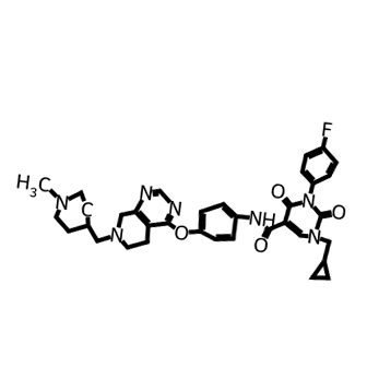 CN1CCC(CN2CCc3c(ncnc3Oc3ccc(NC(=O)c4cn(CC5CC5)c(=O)n(-c5ccc(F)cc5)c4=O)cc3)C2)CC1